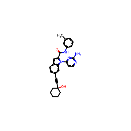 Cc1cccc(NC(=O)c2cc3ccc(C#CC4(O)CCCCC4)cc3n2-c2ccnc(N)n2)c1